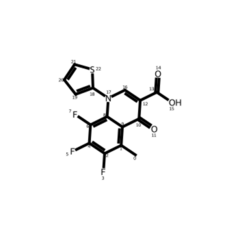 Cc1c(F)c(F)c(F)c2c1c(=O)c(C(=O)O)cn2-c1cccs1